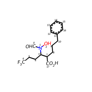 O=CN(O)C(CCC(F)(F)F)C(CCCc1ccccc1)C(=O)O